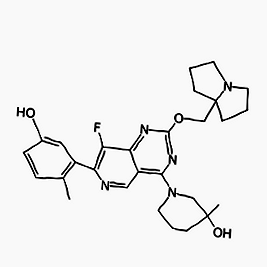 Cc1ccc(O)cc1-c1ncc2c(N3CCCC(C)(O)C3)nc(OCC34CCCN3CCC4)nc2c1F